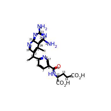 Cc1c(C(C)c2ccc(C(=O)N[C@@H](CCC(=O)O)C(=O)O)cn2)cnc2nc(N)nc(N)c12